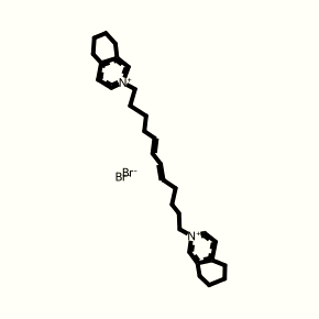 C(C=CCCCC[n+]1ccc2c(c1)CCCC2)=CCCCC[n+]1ccc2c(c1)CCCC2.[Br-].[Br-]